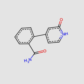 NC(=O)c1ccccc1-c1cc[nH]c(=O)c1